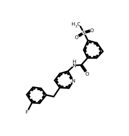 CS(=O)(=O)c1cccc(C(=O)Nc2ccc(Cc3cccc(F)c3)cn2)c1